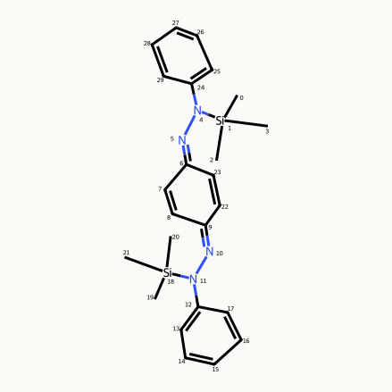 C[Si](C)(C)N(N=C1C=CC(=NN(c2ccccc2)[Si](C)(C)C)C=C1)c1ccccc1